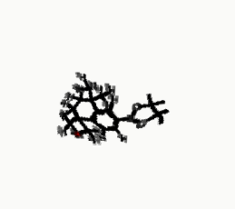 [2H]c1c([2H])c2c(c([2H])c1B1OC(C)(C)C(C)(C)O1)C(C([2H])([2H])[2H])(C([2H])([2H])[2H])C([2H])([2H])C([2H])([2H])C2(C([2H])([2H])[2H])C([2H])([2H])[2H]